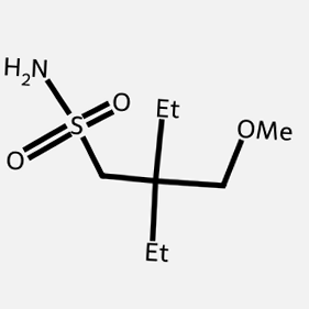 CCC(CC)(COC)CS(N)(=O)=O